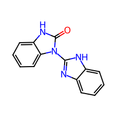 O=c1[nH]c2ccccc2n1-c1nc2ccccc2[nH]1